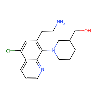 NCCc1cc(Cl)c2cccnc2c1N1CCCC(CO)C1